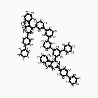 c1ccc(-c2ccc(-c3nc(-c4cccc(-c5cccc(-c6cccc(-c7cc(-c8ccccc8)cc(-c8nc(-c9ccc(-c%10ccccc%10)cc9)nc9sc%10ccccc%10c89)c7)c6)c5)c4)c4c(n3)oc3ccccc34)cc2)cc1